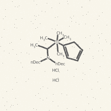 CCCCCCCCCCN(CCCCCCCCCC)[CH](C)[Ti]([CH3])([CH3])([CH3])([CH3])[C]1=CC=CC1.Cl.Cl